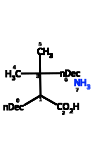 CCCCCCCCCCC(C(=O)O)C(C)(C)CCCCCCCCCC.N